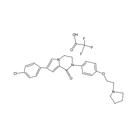 O=C(O)C(F)(F)F.O=C1c2cc(-c3ccc(Cl)cc3)cn2CCN1c1ccc(OCCN2CCCC2)cc1